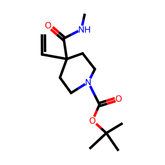 C=CC1(C(=O)NC)CCN(C(=O)OC(C)(C)C)CC1